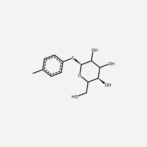 Cc1ccc(S[C@@H]2OC(CO)[C@H](O)C(O)C2O)cc1